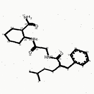 CC(C)CCC(Cc1ccccc1)C(=O)NCC(=O)NC1CCCCC1C(N)=O